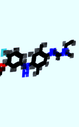 CCN(C)C=Nc1cc(C)c(Nc2ccc(F)c(OC)c2)cc1C